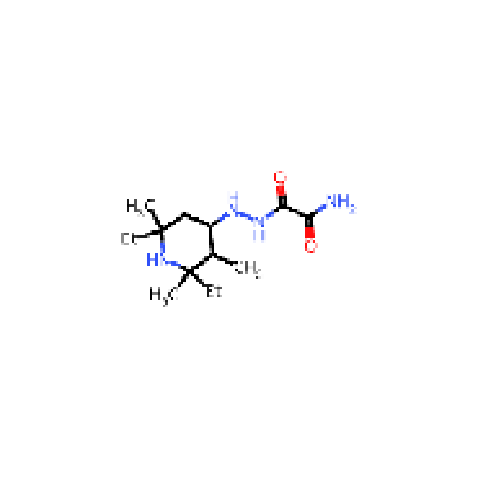 CCC1(C)CC(NNC(=O)C(N)=O)C(C)C(C)(CC)N1